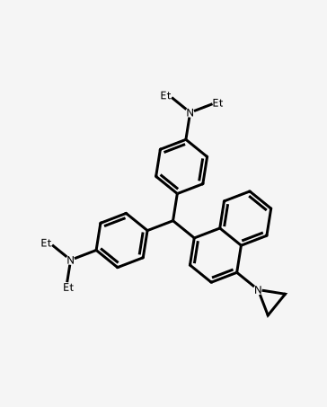 CCN(CC)c1ccc(C(c2ccc(N(CC)CC)cc2)c2ccc(N3CC3)c3ccccc23)cc1